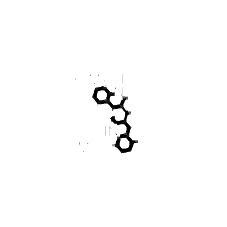 COc1ccc(Br)c2cc(C(=O)c3cc4c(Br)ccc(OC)c4[nH]c3=O)c(=O)[nH]c12